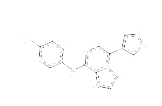 O=C(O)c1ccc(Nc2ncc(-c3cn[nH]c3)n3ccnc23)cn1